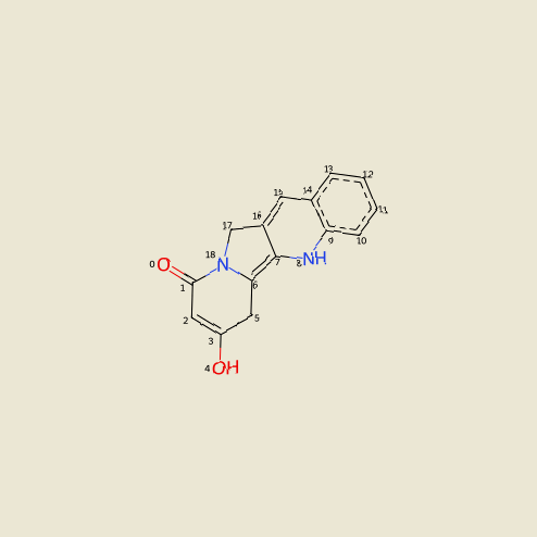 O=C1C=C(O)CC2=C3Nc4ccccc4C=C3CN12